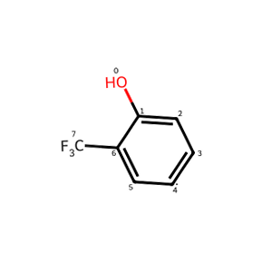 Oc1cc[c]cc1C(F)(F)F